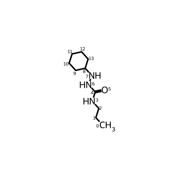 CCCNC(=O)NNC1CCCCC1